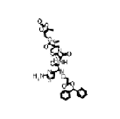 CSC1(C(=O)OCc2oc(=O)oc2C)CS[C@@H]2C(NC(=O)C(=NOCC(=O)OC(c3ccccc3)c3ccccc3)c3csc(N)n3)C(=O)N2C1